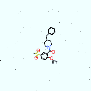 CC(C)Oc1ccc(S(C)(=O)=O)cc1C(=O)N1CCC(Cc2ccccc2)CC1